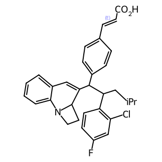 CC(C)CC(c1ccc(F)cc1Cl)C(C1=Cc2ccccc2N2CCC12)c1ccc(/C=C/C(=O)O)cc1